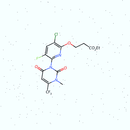 CCOC(=O)CCOc1nc(-n2c(=O)cc(C(F)(F)F)n(C)c2=O)c(F)cc1Cl